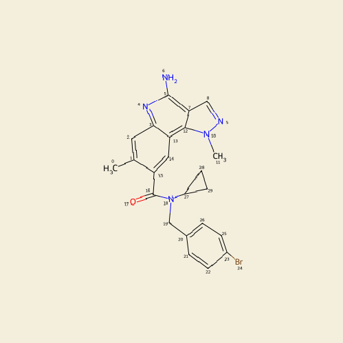 Cc1cc2nc(N)c3cnn(C)c3c2cc1C(=O)N(Cc1ccc(Br)cc1)C1CC1